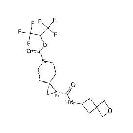 O=C(NC1CC2(COC2)C1)[C@@H]1CC12CCN(C(=O)OC(C(F)(F)F)C(F)(F)F)CC2